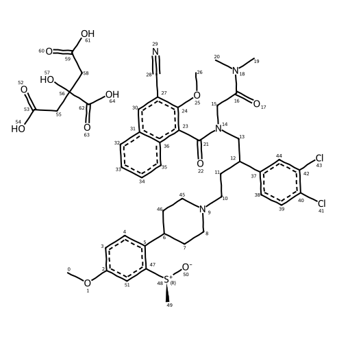 COc1ccc(C2CCN(CCC(CN(CC(=O)N(C)C)C(=O)c3c(OC)c(C#N)cc4ccccc34)c3ccc(Cl)c(Cl)c3)CC2)c([S@+](C)[O-])c1.O=C(O)CC(O)(CC(=O)O)C(=O)O